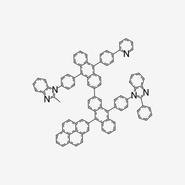 Cc1nc2ccccc2n1-c1ccc(-c2c3ccccc3c(-c3ccc(-c4ccccn4)cc3)c3ccc(-c4ccc5c(-c6cc7ccc8cccc9ccc(c6)c7c89)c6ccccc6c(-c6ccc(-n7c(-c8ccccc8)nc8ccccc87)cc6)c5c4)cc23)cc1